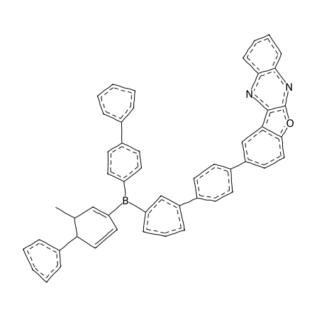 CC1C=C(B(c2ccc(-c3ccccc3)cc2)c2cccc(-c3ccc(-c4ccc5oc6nc7ccccc7nc6c5c4)cc3)c2)C=CC1c1ccccc1